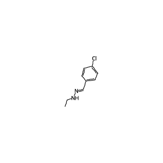 CCNN=Cc1ccc(Cl)cc1